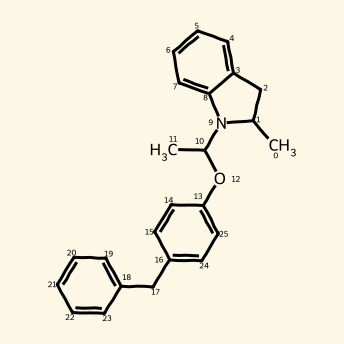 CC1Cc2ccccc2N1C(C)Oc1ccc(Cc2ccccc2)cc1